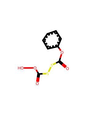 O=C(OO)SSC(=O)Oc1ccccc1